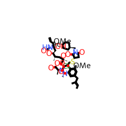 C=C[C@@H](OC)[C@@]1(O)C[C@@H]([C@@H](C)[C@@H]2O[C@@]2(C)[C@H](CC(=O)N(C)c2cc(C/C(C)=C/C)cc(OC)c2Cl)OC(=O)[C@H](C)N(C)C(=O)CCS[C@H]2CC(=O)N(C[C@H]3CC[C@H](C(C)=O)CC3)C2=O)OC(=O)N1